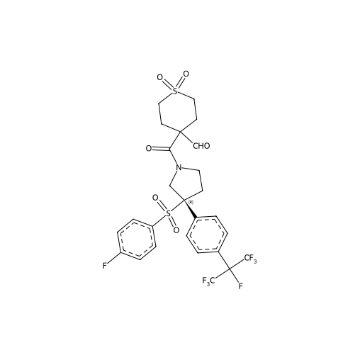 O=CC1(C(=O)N2CC[C@](c3ccc(C(F)(C(F)(F)F)C(F)(F)F)cc3)(S(=O)(=O)c3ccc(F)cc3)C2)CCS(=O)(=O)CC1